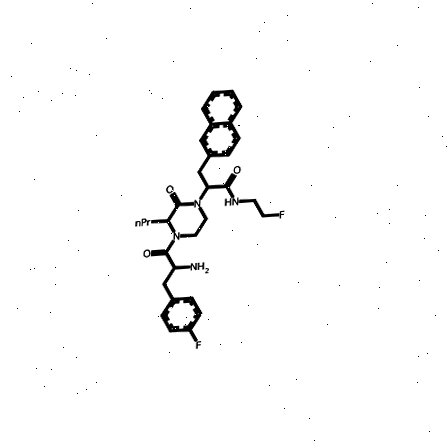 CCCC1C(=O)N(C(Cc2ccc3ccccc3c2)C(=O)NCCF)CCN1C(=O)C(N)Cc1ccc(F)cc1